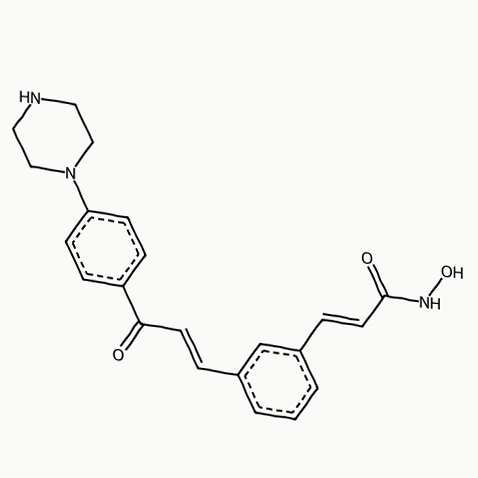 O=C(C=Cc1cccc(C=CC(=O)c2ccc(N3CCNCC3)cc2)c1)NO